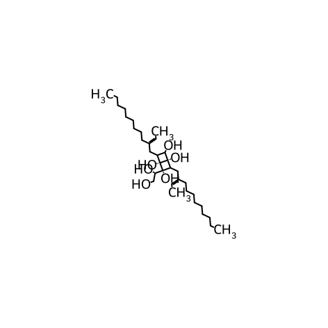 CC=C(CCCCCCCCC)CC1C(O)[C@@]2(O)C(CC(=CC)CCCCCCCCC)[C@@](O)([C@H](O)CO)[C@@]12O